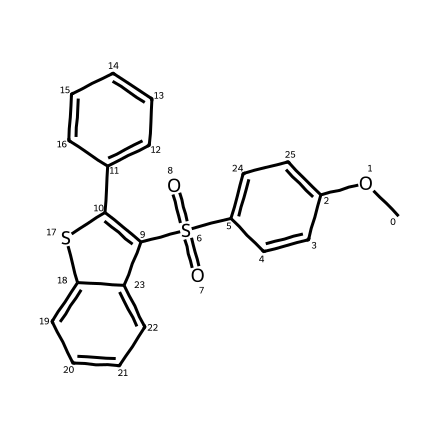 COc1ccc(S(=O)(=O)c2c(-c3ccccc3)sc3ccccc23)cc1